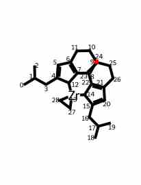 CC(C)CC1=CC2=C(CCCC2)[CH]1[Zr]1([CH]2C(CC(C)C)=CC3=C2CCCC3)[CH2][CH2]1